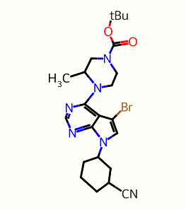 CC1CN(C(=O)OC(C)(C)C)CCN1c1ncnc2c1c(Br)cn2C1CCCC(C#N)C1